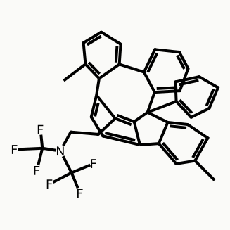 Cc1ccc2c(c1)-c1ccc3c(CCN(C(F)(F)F)C(F)(F)F)c1C2(c1ccccc1)c1ccccc1-c1cccc(C)c1-3